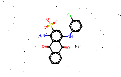 Nc1c(S(=O)(=O)[O-])cc(Nc2cccc(Cl)c2)c2c1C(=O)c1ccccc1C2=O.[Na+]